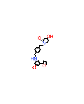 COc1cc(NCCc2ccc(CCN3CC[C@@H](O)C[C@H]3CO)cc2)cc(-c2ccco2)c1